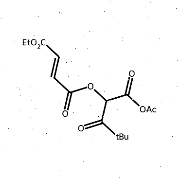 CCOC(=O)C=CC(=O)OC(C(=O)OC(C)=O)C(=O)C(C)(C)C